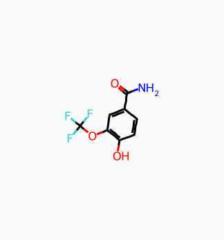 NC(=O)c1ccc(O)c(OC(F)(F)F)c1